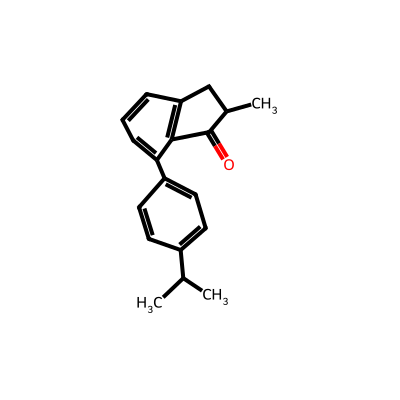 CC1Cc2cccc(-c3ccc(C(C)C)cc3)c2C1=O